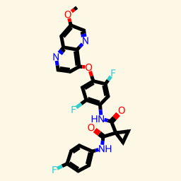 COc1cnc2c(Oc3cc(F)c(NC(=O)C4(C(=O)Nc5ccc(F)cc5)CC4)cc3F)ccnc2c1